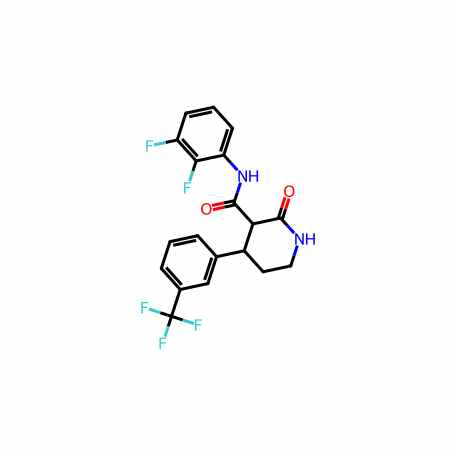 O=C1NCCC(c2cccc(C(F)(F)F)c2)C1C(=O)Nc1cccc(F)c1F